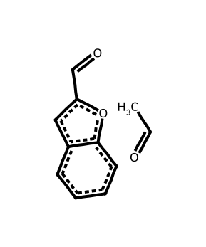 CC=O.O=Cc1cc2ccccc2o1